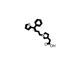 O=C(O)CC1CCN(CC/C=C(\c2ccccc2)c2cccs2)C1